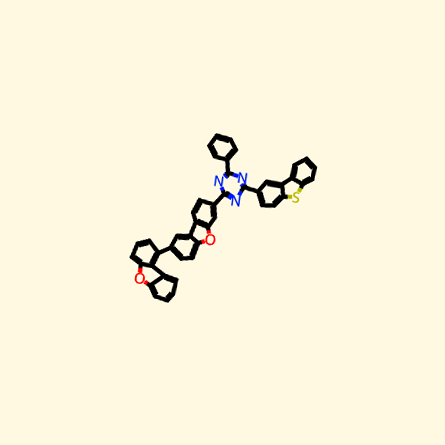 c1ccc(-c2nc(-c3ccc4c(c3)oc3ccc(-c5cccc6oc7ccccc7c56)cc34)nc(-c3ccc4sc5ccccc5c4c3)n2)cc1